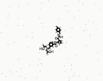 Cc1ccc(/C=N/NC(=O)c2ccsc2NC(=O)c2cccc(CN(CC(C)O)CC(C)O)c2)cc1